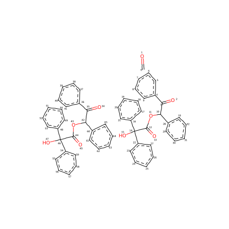 C=O.O=C(c1ccccc1)C(OC(=O)C(O)(c1ccccc1)c1ccccc1)c1ccccc1.O=C(c1ccccc1)C(OC(=O)C(O)(c1ccccc1)c1ccccc1)c1ccccc1